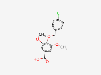 COc1cc(C(=O)O)cc(OC)c1OCc1ccc(Cl)cc1